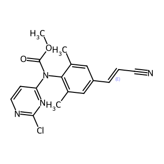 COC(=O)N(c1ccnc(Cl)n1)c1c(C)cc(/C=C/C#N)cc1C